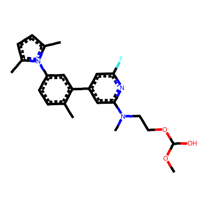 COC(O)OCCN(C)c1cc(-c2cc(-n3c(C)ccc3C)ccc2C)cc(F)n1